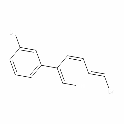 C\C=C(/C=C\C=C\Br)c1cccc(Br)c1